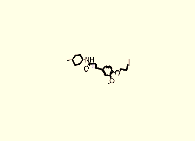 COc1cc(/C=C/C(=O)N[C@H]2CC[C@H](C)CC2)ccc1OCCI